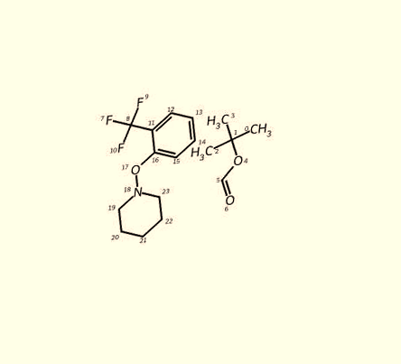 CC(C)(C)OC=O.FC(F)(F)c1ccccc1ON1CCCCC1